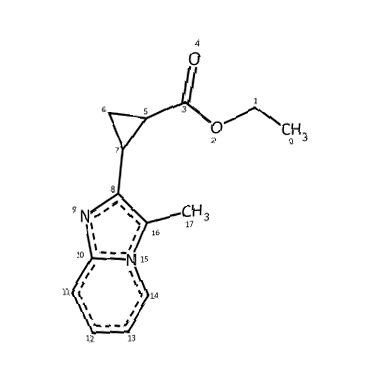 CCOC(=O)C1CC1c1nc2ccccn2c1C